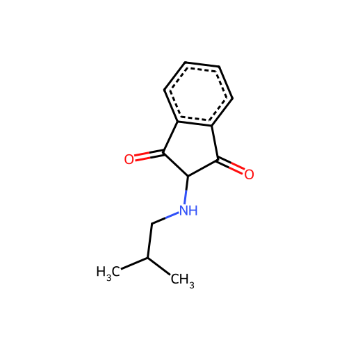 CC(C)CNC1C(=O)c2ccccc2C1=O